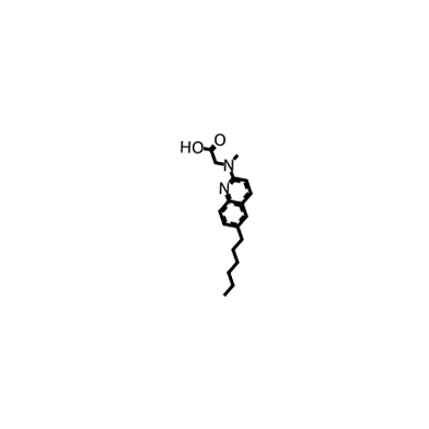 CCCCCCc1ccc2nc(N(C)CC(=O)O)ccc2c1